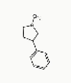 [CH2]N1CCC(c2ccccc2)C1